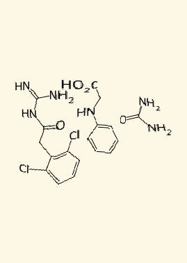 N=C(N)NC(=O)Cc1c(Cl)cccc1Cl.NC(N)=O.O=C(O)CNc1ccccc1